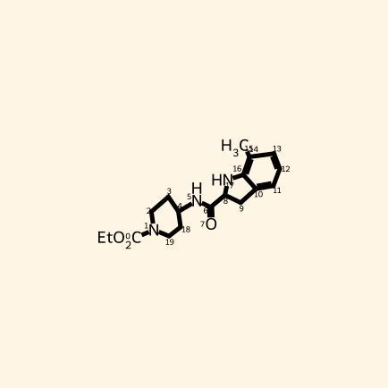 CCOC(=O)N1CCC(NC(=O)C2Cc3cccc(C)c3N2)CC1